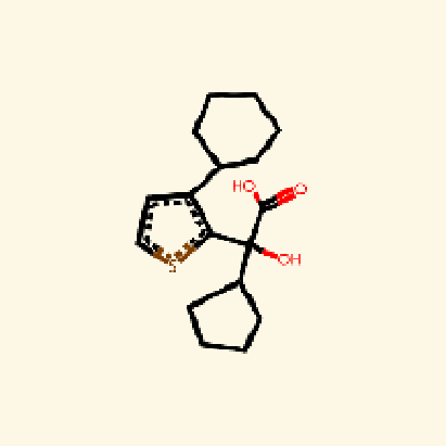 O=C(O)C(O)(c1sccc1C1CCCCC1)C1CCCC1